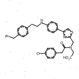 CC(C)Cc1ccc(CCNc2ccc(-c3csc(CN(CC(=O)O)C(=O)Cc4ccc(Cl)cc4)n3)cc2)cc1